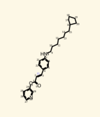 O=C(/C=C/c1ccc(NCCCCCCCC2CCCC2)cc1)Oc1cccnc1